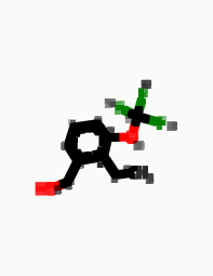 CCc1c([CH]O)cccc1OC(F)(F)F